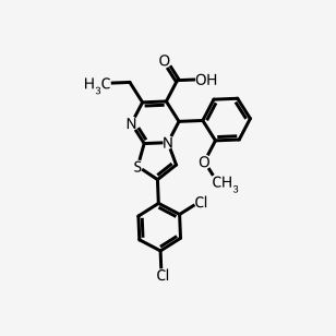 CCC1=C(C(=O)O)C(c2ccccc2OC)N2C=C(c3ccc(Cl)cc3Cl)SC2=N1